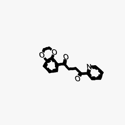 O=C(CCC(=O)c1cccc2c1OCCO2)c1ccccn1